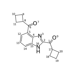 O=C(c1nc2c(C(=O)C3CCC3)cccc2[nH]1)C1CCC1